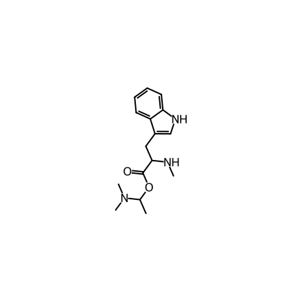 CNC(Cc1c[nH]c2ccccc12)C(=O)OC(C)N(C)C